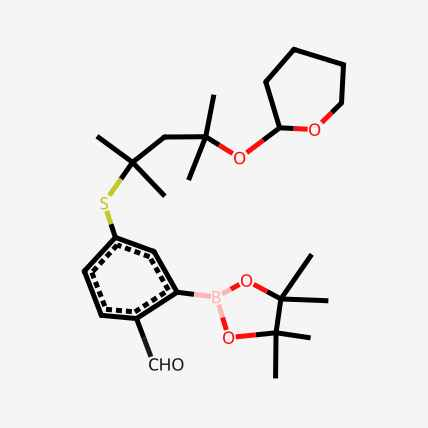 CC(C)(CC(C)(C)Sc1ccc(C=O)c(B2OC(C)(C)C(C)(C)O2)c1)OC1CCCCO1